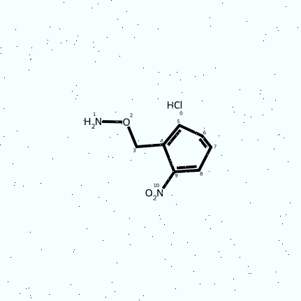 Cl.NOCc1ccccc1[N+](=O)[O-]